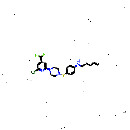 C=CCCCNc1ccc(SN2CCN(c3cc(C(F)F)cc(Cl)n3)CC2)cc1